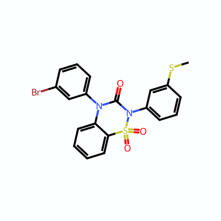 CSc1cccc(N2C(=O)N(c3cccc(Br)c3)c3ccccc3S2(=O)=O)c1